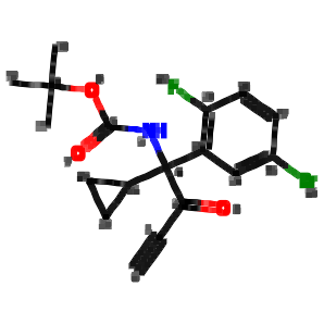 C#CC(=O)C(NC(=O)OC(C)(C)C)(c1cc(Br)ccc1F)C1CC1